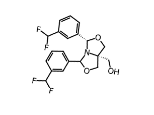 OC[C@]12COC(c3cccc(C(F)F)c3)N1[C@H](c1cccc(C(F)F)c1)OC2